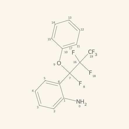 Nc1ccccc1C(F)(Oc1ccccc1)C(F)(F)C(F)(F)F